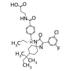 CCC[C@H](c1ccc(C(=O)NCCC(=O)O)cc1)N1C(=O)C(c2cc(F)cc(Cl)c2)=NC12CCC(C(C)(C)CC)CC2